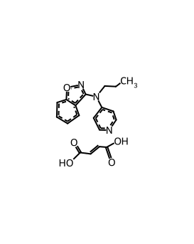 CCCN(c1ccncc1)c1noc2ccccc12.O=C(O)C=CC(=O)O